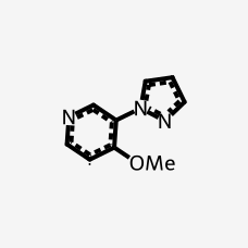 COc1[c]cncc1-n1cccn1